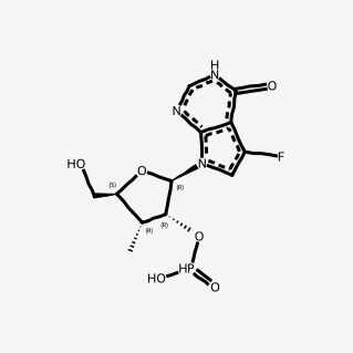 C[C@H]1[C@@H](O[PH](=O)O)[C@H](n2cc(F)c3c(=O)[nH]cnc32)O[C@@H]1CO